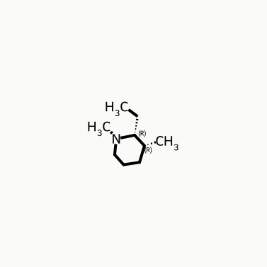 CC[C@@H]1[C@H](C)CCCN1C